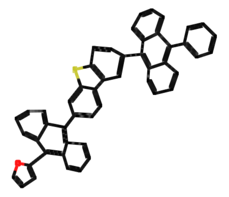 c1ccc(-c2c3ccccc3c(-c3ccc4sc5cc(-c6c7ccccc7c(-c7ccco7)c7ccccc67)ccc5c4c3)c3ccccc23)cc1